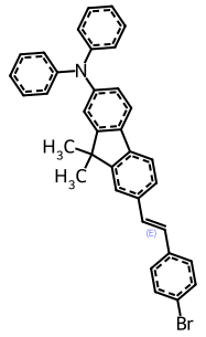 CC1(C)c2cc(/C=C/c3ccc(Br)cc3)ccc2-c2ccc(N(c3ccccc3)c3ccccc3)cc21